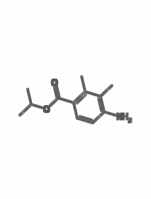 Cc1c(N)ccc(C(=O)OC(C)C)c1C